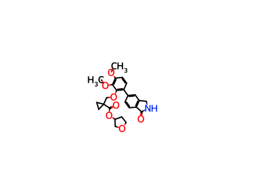 COc1ccc(-c2ccc3c(c2)CNC3=O)c(OCC2(C(=O)OC3CCOC3)CC2)c1OC